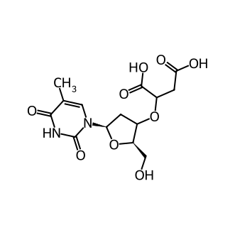 Cc1cn([C@H]2CC(OC(CC(=O)O)C(=O)O)[C@@H](CO)O2)c(=O)[nH]c1=O